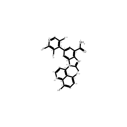 Cc1nc2c(C(N)=O)cc(-c3c(F)cnc(F)c3F)cc2n1-c1ccnc2c(F)ccc(F)c12